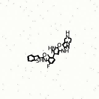 Cc1c(-c2cc(Nc3cc4n(n3)CCNC4)c(=O)[nH]n2)ccc(F)c1NC(=O)c1cc2ccccc2s1